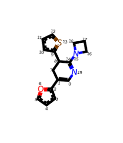 C1=C(c2ccco2)CC(c2cccs2)C(N2CCC2)=N1